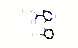 Cc1ccccc1Sc1cnccc1C(=N)NO